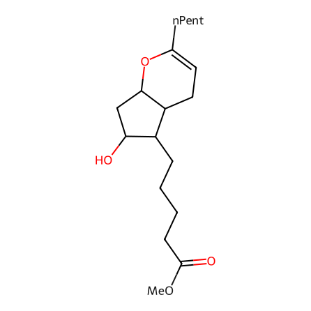 CCCCCC1=CCC2C(CC(O)C2CCCCC(=O)OC)O1